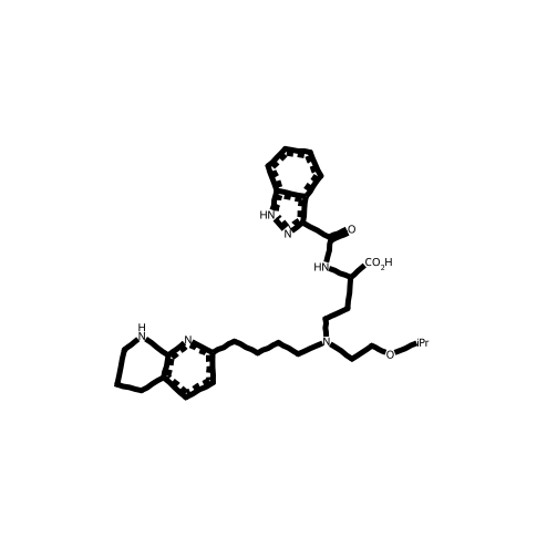 CC(C)OCCN(CCCCc1ccc2c(n1)NCCC2)CCC(NC(=O)c1n[nH]c2ccccc12)C(=O)O